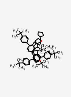 C[SiH](C)[Zr]([Cl])([Cl])([CH]1C(CC2CCCC2)=Cc2c(-c3ccc(C(C)(C)C)cc3)ccc(-c3ccc(C(C)(C)C)cc3)c21)[CH]1C(CC2CCCC2)=Cc2c(-c3ccc(C(C)(C)C)cc3)ccc(-c3ccc(C(C)(C)C)cc3)c21